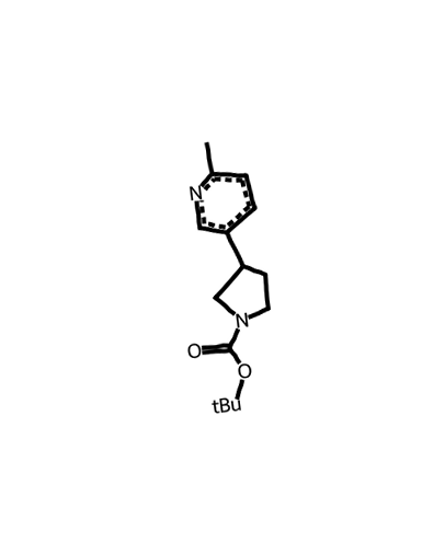 Cc1ccc(C2CCN(C(=O)OC(C)(C)C)C2)cn1